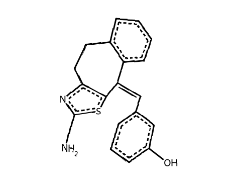 Nc1nc2c(s1)C(=Cc1cccc(O)c1)c1ccccc1CC2